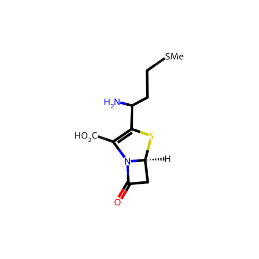 CSCCC(N)C1=C(C(=O)O)N2C(=O)C[C@@H]2S1